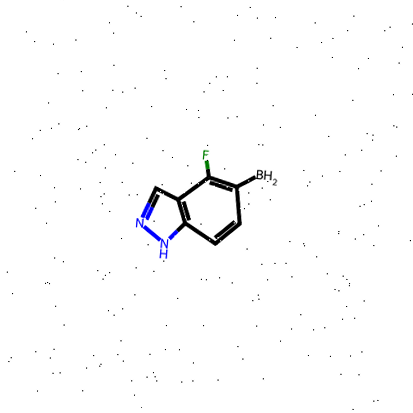 Bc1ccc2[nH]ncc2c1F